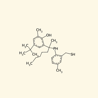 CCCCCC(C)(Pc1ccc(C)cc1CS)c1cc(C(C)(C)C)cc(C)c1O